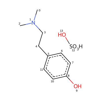 CN(C)CCc1ccc(O)cc1.O=S(=O)(O)O